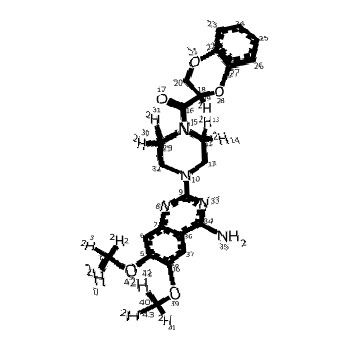 [2H]C([2H])([2H])Oc1cc2nc(N3CC([2H])([2H])N(C(=O)C4([2H])COc5ccccc5O4)C([2H])([2H])C3)nc(N)c2cc1OC([2H])([2H])[2H]